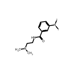 CN(C)CCNC(=O)c1cccc(N(I)I)c1